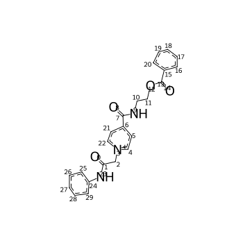 O=C(C[n+]1ccc(C(=O)NCCOC(=O)c2ccccc2)cc1)Nc1ccccc1